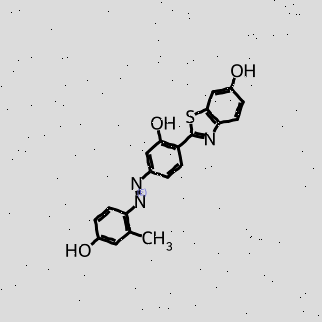 Cc1cc(O)ccc1/N=N/c1ccc(-c2nc3ccc(O)cc3s2)c(O)c1